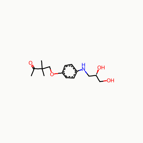 CC(=O)C(C)(C)COc1ccc(NC[C@@H](O)CO)cc1